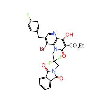 CCOC(=O)c1c(O)c2ncc(CC3=CCC(F)C=C3)c(Br)c2n(CC(F)(F)CN2C(=O)c3ccccc3C2=O)c1=O